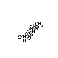 Cc1nc(-c2nc3sc(N4CCC[C@@H]4C(=O)NCc4ccccc4)nc3c(=O)n2C)no1